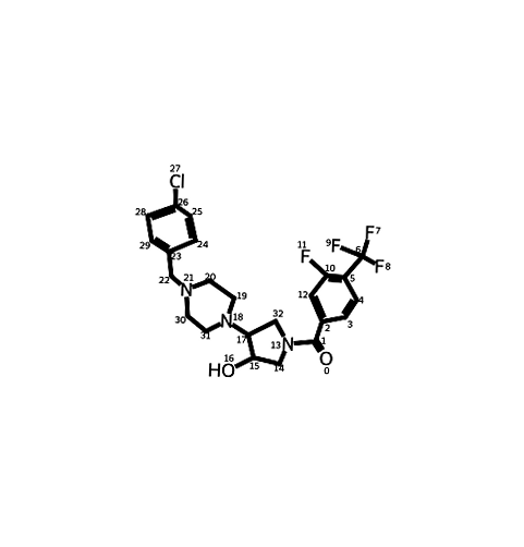 O=C(c1ccc(C(F)(F)F)c(F)c1)N1CC(O)C(N2CCN(Cc3ccc(Cl)cc3)CC2)C1